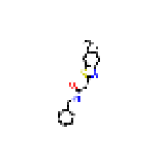 Cc1ccc2nc(CC(=O)NCc3ccccc3)sc2c1